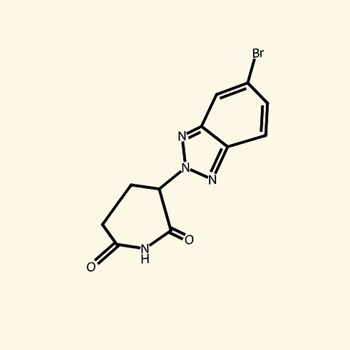 O=C1CCC(n2nc3ccc(Br)cc3n2)C(=O)N1